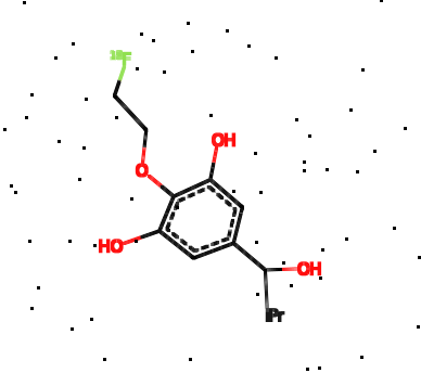 CC(C)C(O)c1cc(O)c(OCC[18F])c(O)c1